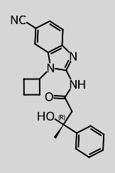 C[C@@](O)(CC(=O)Nc1nc2ccc(C#N)cc2n1C1CCC1)c1ccccc1